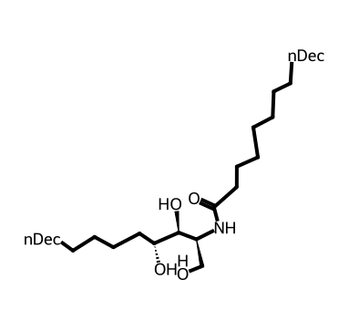 CCCCCCCCCCCCCCCCCC(=O)N[C@@H](CO)[C@H](O)[C@H](O)CCCCCCCCCCCCCC